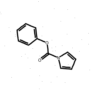 O=C(Oc1ccccc1)n1cccc1